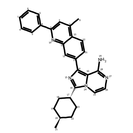 Cc1cc(-c2ccccc2)nc2cc(-c3nc([C@H]4CC[C@H](C)CC4)n4ccnc(N)c34)ccc12